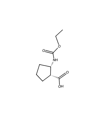 CCOC(=O)N[C@H]1CCC[C@H]1C(=O)O